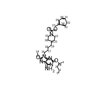 CCC[C@H](C)Oc1nc(N)c2nc(OC)n(CCCCC3CCN(C(=O)OCC4=CC=CCC=C4)CC3)c2n1